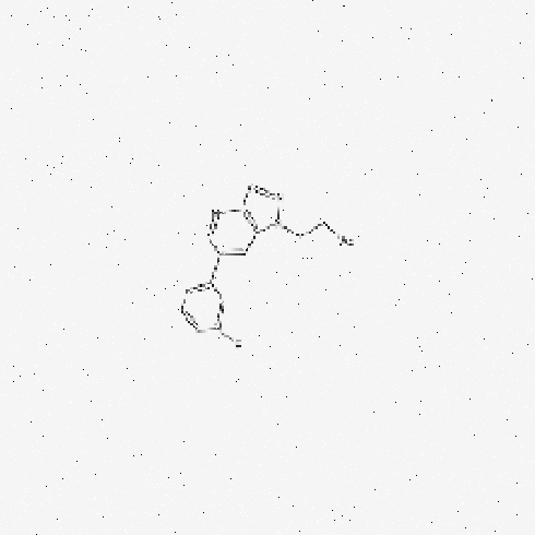 CC(=O)CCn1ncc2ncc(-c3cccc(F)c3)cc21